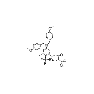 COC(=O)C1COC(c2cc(N(Cc3ccc(OC)cc3)Cc3ccc(OC)cc3)cc(C)c2C(F)(F)F)CC1=O